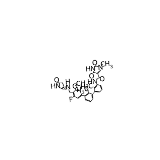 COc1cc(-c2cccc(-c3cccc(NC(=O)c4cn(C)c(=O)[nH]c4=O)c3C)c2C)cc(F)c1CN[C@@H]1CNC(=O)C1